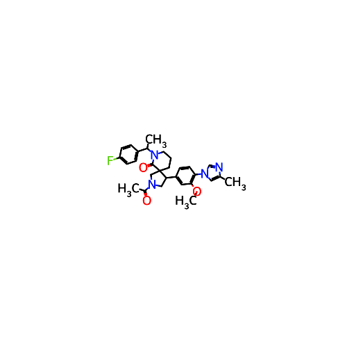 COc1cc(C2CN(C(C)=O)CC23CCCN(C(C)c2ccc(F)cc2)C3=O)ccc1-n1cnc(C)c1